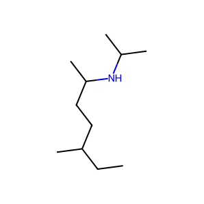 CCC(C)CCC(C)NC(C)C